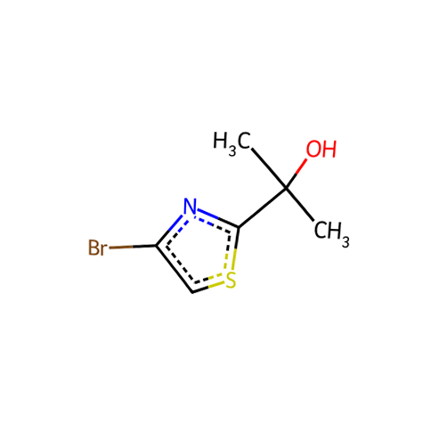 CC(C)(O)c1nc(Br)cs1